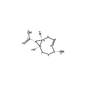 O=C(O)[C@H]1[C@@H]2CC[C@@H](O)/C=C/C[C@@H]21